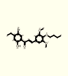 CCCCOc1c(OC)cc(/C=C/C(=O)c2cc(Br)c(CC)cc2O)cc1OC